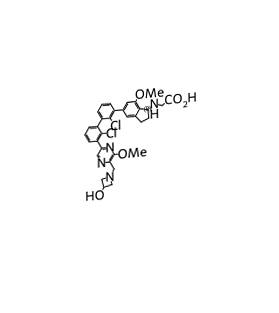 COc1cc(-c2cccc(-c3cccc(-c4cnc(CN5CC(O)C5)c(OC)n4)c3Cl)c2Cl)cc2c1[C@H](NCC(=O)O)CC2